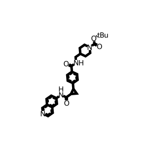 CC(C)(C)OC(=O)N1CCC(CNC(=O)c2ccc(C3CC3C(=O)Nc3ccc4cnccc4c3)cc2)CC1